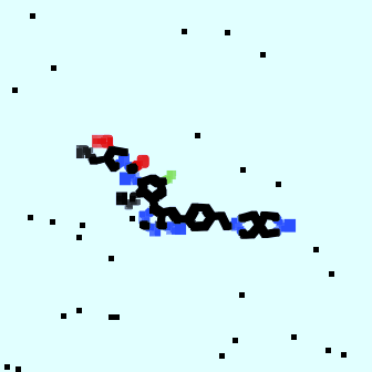 Cc1c(NC(=O)N2C[C@@H](CC(C)C)[C@H](O)C2)cc(F)cc1-c1ncnc2[nH]c(-c3ccc(CCN4CCC5(CCNCC5)CC4)cc3)cc12